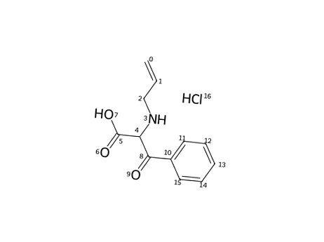 C=CCNC(C(=O)O)C(=O)c1ccccc1.Cl